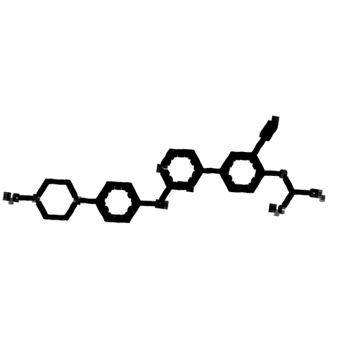 CC(C)Oc1ccc(-c2ccnc(Nc3ccc(N4CCN(C)CC4)cc3)n2)cc1C#N